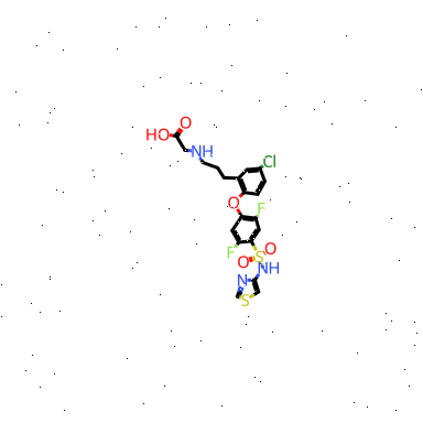 O=C(O)CNCCCc1cc(Cl)ccc1Oc1cc(F)c(S(=O)(=O)Nc2cscn2)cc1F